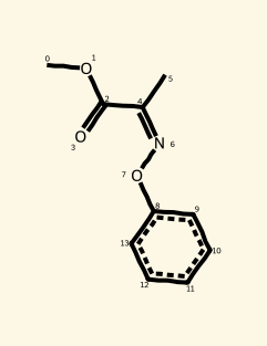 COC(=O)C(C)=NOc1ccccc1